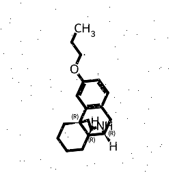 CC[CH]Oc1ccc2c(c1)[C@@]13CCCC[C@H]1[C@@H](C2)NCC3